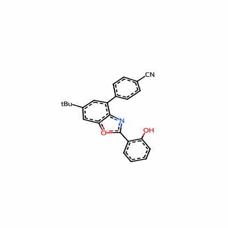 CC(C)(C)c1cc(-c2ccc(C#N)cc2)c2nc(-c3ccccc3O)oc2c1